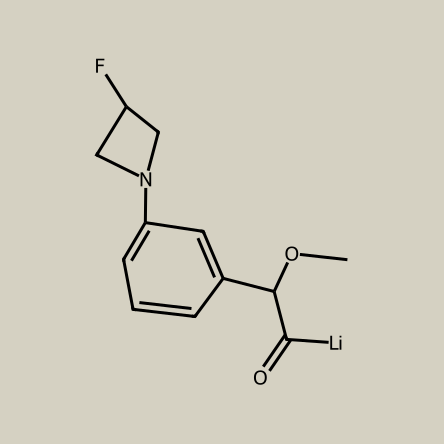 [Li][C](=O)C(OC)c1cccc(N2CC(F)C2)c1